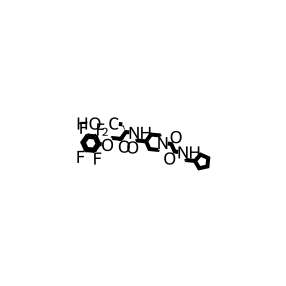 O=C(O)C[C@H](NC(=O)C1CCN(C(=O)C(=O)NCC2CCCC2)CC1)C(=O)COc1c(F)c(F)cc(F)c1F